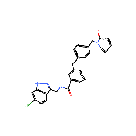 O=C(NCc1n[nH]c2cc(Cl)ccc12)c1cccc(Cc2ccc(Cn3ccccc3=O)cc2)c1